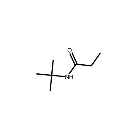 [CH2]CC(=O)NC(C)(C)C